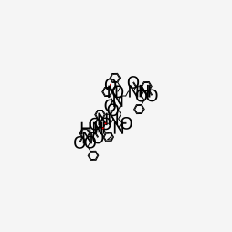 NC(=O)C(CCCN(CCCNC(=O)c1cccc(=O)n1OCc1ccccc1)C(=O)c1cccc(=O)n1OCc1ccccc1)N(CCCNC(=O)c1cccc(=O)n1OCc1ccccc1)C(=O)c1cccc(=O)n1OCc1ccccc1